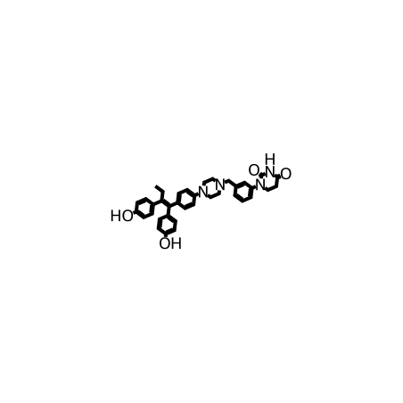 CCC(=C(c1ccc(O)cc1)c1ccc(N2CCN(Cc3cccc(N4CCC(=O)NC4=O)c3)CC2)cc1)c1ccc(O)cc1